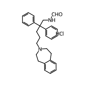 Cl.O=CNCC(CCCN1CCc2ccccc2CC1)(c1ccccc1)c1ccccc1